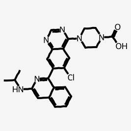 CC(C)Nc1cc2ccccc2c(-c2cc3ncnc(N4CCN(C(=O)O)CC4)c3cc2Cl)n1